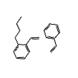 C=Cc1ccccc1.C=Cc1ccccc1CCCC